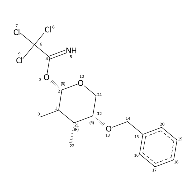 CC1[C@H](OC(=N)C(Cl)(Cl)Cl)OC[C@H](OCc2ccccc2)[C@@H]1C